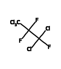 FC(Cl)(Cl)C(F)(F)C(Cl)(Cl)Cl